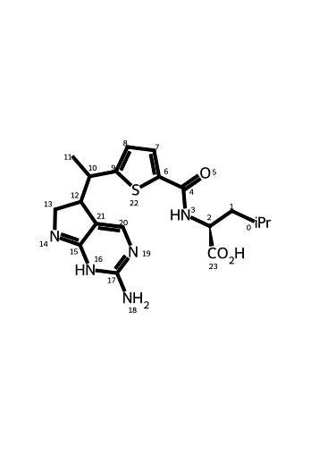 CC(C)C[C@H](NC(=O)c1ccc(C(C)C2CN=C3NC(N)=NC=C32)s1)C(=O)O